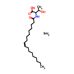 CCCCCCCC/C=C\CCCCCCCC(=O)NC(C(=O)O)C(C)O.[SrH2]